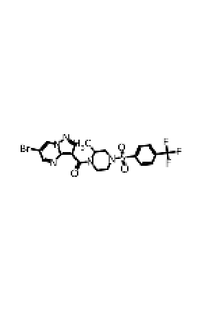 C[C@H]1CN(S(=O)(=O)c2ccc(C(F)(F)F)cc2)CCN1C(=O)c1cnn2cc(Br)cnc12